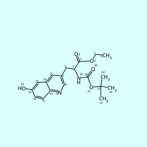 CCOC(=O)C(Cc1cnc2ccc(O)cc2c1)NC(=O)OC(C)(C)C